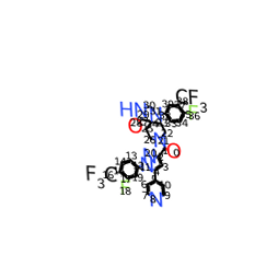 O=C(c1cc(-c2ccncc2)n(-c2ccc(C(F)(F)F)c(F)c2)n1)N1CCC2(CC1)C(=O)NCN2c1ccc(F)c(C(F)(F)F)c1